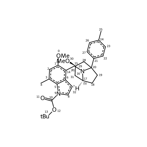 COc1cc(C)c2c(ccn2C(=O)OC(C)(C)C)c1CN1[C@H]2CCC1(c1ccc(C)cc1)C[C@H](OC)C2